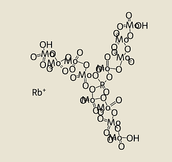 O=P([O][Mo](=[O])(=[O])[O][Mo](=[O])(=[O])[O][Mo](=[O])(=[O])[O][Mo](=[O])(=[O])[OH])([O][Mo](=[O])(=[O])[O][Mo](=[O])(=[O])[O][Mo](=[O])(=[O])[O][Mo](=[O])(=[O])[OH])[O][Mo](=[O])(=[O])[O][Mo](=[O])(=[O])[O][Mo](=[O])(=[O])[O][Mo](=[O])(=[O])[OH].[Rb+]